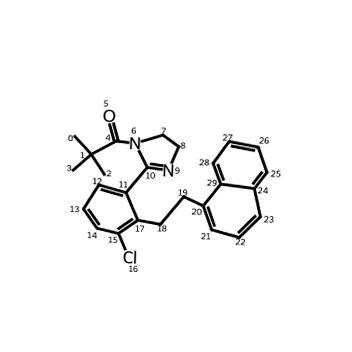 CC(C)(C)C(=O)N1CCN=C1c1cccc(Cl)c1CCc1cccc2ccccc12